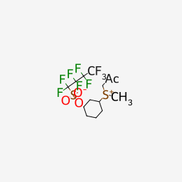 CC(=O)C[S+](C)C1CCCCC1.O=S(=O)([O-])C(F)(F)C(F)(F)C(F)(F)C(F)(F)F